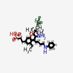 CCc1cc(CCCS(=O)(=O)O)cc2[o+]c(C(C)(C)C)c(N)c(C=CC=CNc3ccccc3)c12.F[B-](F)(F)F